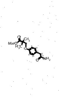 COC(=O)C(C)(C)COc1ccc(CC(N)=O)cc1